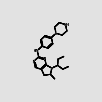 CCC(CC)N1c2nc(Nc3ccc(N4CCNCC4)cc3)ncc2CC1C